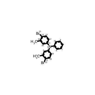 Cc1cc(N(c2ccccc2)c2ccc(Br)c(C)c2)ccc1Br